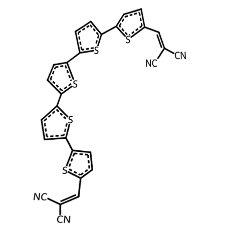 N#CC(C#N)=Cc1ccc(-c2ccc(-c3ccc(-c4ccc(-c5ccc(C=C(C#N)C#N)s5)s4)s3)s2)s1